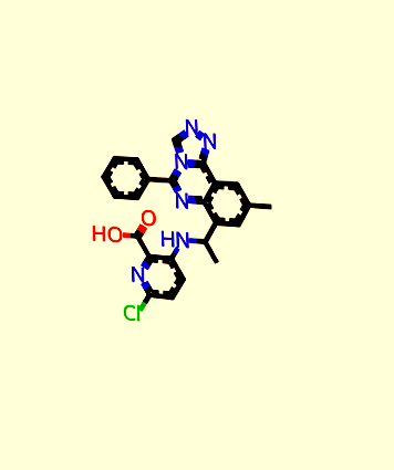 Cc1cc(C(C)Nc2ccc(Cl)nc2C(=O)O)c2nc(-c3ccccc3)n3cnnc3c2c1